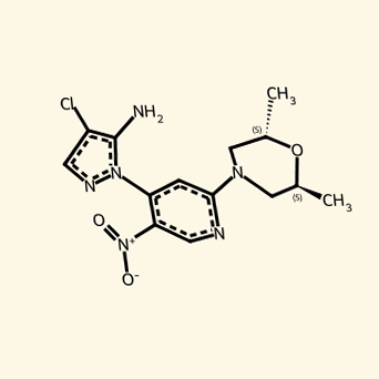 C[C@H]1CN(c2cc(-n3ncc(Cl)c3N)c([N+](=O)[O-])cn2)C[C@H](C)O1